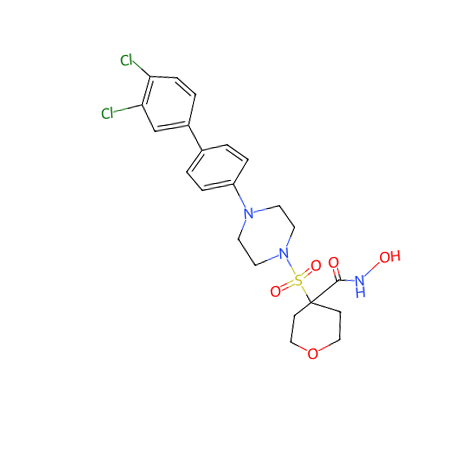 O=C(NO)C1(S(=O)(=O)N2CCN(c3ccc(-c4ccc(Cl)c(Cl)c4)cc3)CC2)CCOCC1